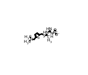 CC(NC(=N)N[N+](=O)[O-])SCc1ccc(CN(C)C)s1